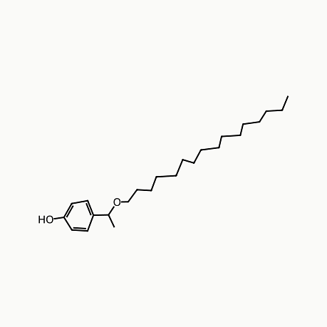 CCCCCCCCCCCCCCCCOC(C)c1ccc(O)cc1